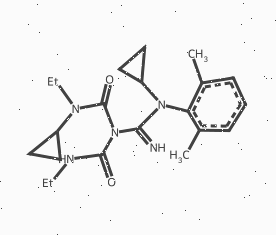 CCNC(=O)N(C(=N)N(c1c(C)cccc1C)C1CC1)C(=O)N(CC)C1CC1